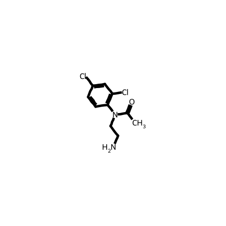 CC(=O)N(CCN)c1ccc(Cl)cc1Cl